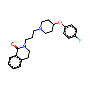 O=C1c2ccccc2CCN1CCCN1CCC(Oc2ccc(F)cc2)CC1